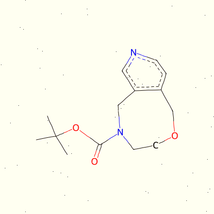 CC(C)(C)OC(=O)N1CCOCc2ccncc2C1